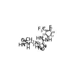 CS(=N)(=O)NCCNc1nonc1C(=N)Nc1ccc(F)c(C(F)(F)F)c1